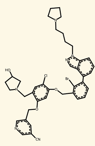 N#Cc1cncc(COc2cc(OCc3cccc(-c4cccc5c4cnn5CCCCN4CCCC4)c3Br)c(Cl)cc2CN2CCC(O)C2)c1